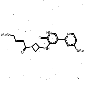 CNCC=CC(=O)N1CC(Nc2cc(-c3cc(NC)ccn3)c[nH]c2=O)C1